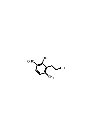 Cc1ccc(C=O)c(O)c1CCO